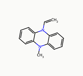 C=CN1c2ccccc2N(C)c2ccccc21